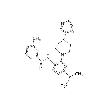 Cc1cncc(C(=O)Nc2ccc(C(C)C)cc2N2CCN(c3cnccn3)CC2)c1